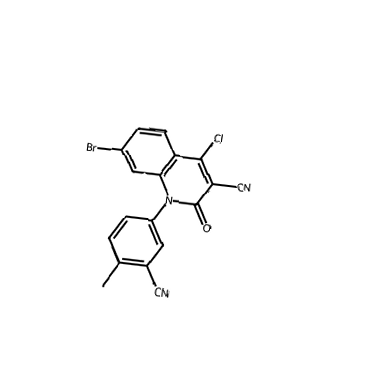 Cc1ccc(-n2c(=O)c(C#N)c(Cl)c3ccc(Br)cc32)cc1C#N